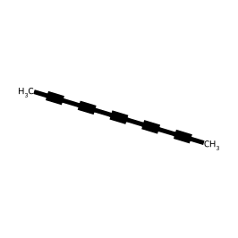 CC#CC#CC#CC#CC#CC